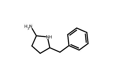 NC1CCC(Cc2ccccc2)N1